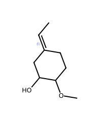 C/C=C1\CCC(OC)C(O)C1